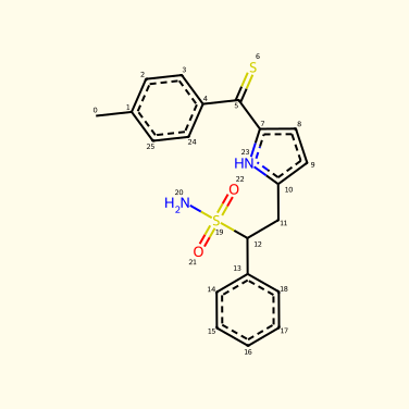 Cc1ccc(C(=S)c2ccc(CC(c3ccccc3)S(N)(=O)=O)[nH]2)cc1